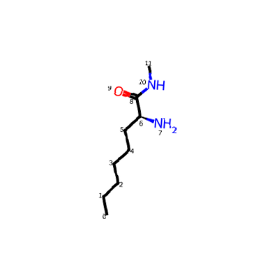 CCCCCC[C@H](N)C(=O)NC